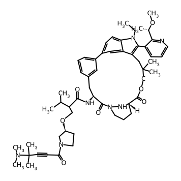 CCn1c(-c2cccnc2[C@H](C)OC)c2c3cc(ccc31)-c1cccc(c1)C[C@H](NC(=O)C(CO[C@H]1CCN(C(=O)C#CC(C)(C)N(C)C)C1)C(C)C)C(=O)N1CCC[C@H](N1)C(=O)OCC(C)(C)C2